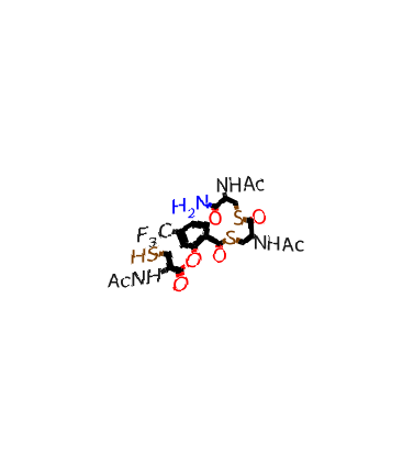 CC(=O)NC(CSC(=O)C(CSC(=O)c1ccc(C(F)(F)F)cc1OC(=O)C(CS)NC(C)=O)NC(C)=O)C(N)=O